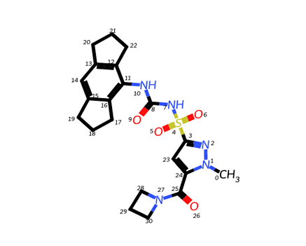 Cn1nc(S(=O)(=O)NC(=O)Nc2c3c(cc4c2CCC4)CCC3)cc1C(=O)N1CCC1